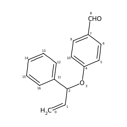 C=CC(Oc1ccc(C=O)cc1)c1ccccc1